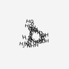 N=C(N)NCCC[C@@H]1NC(=O)[C@H](N)CSSC[C@H](C(=O)N[C@@H](Cc2ccc(O)cc2)C(=O)O)NC(=O)[C@@H]2CCCN2C(=O)[C@H](CO)NC(=O)[C@H](CC(=O)O)NC(=O)CNC1=O